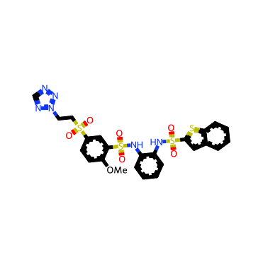 COc1ccc(S(=O)(=O)CCn2ncnn2)cc1S(=O)(=O)Nc1ccccc1NS(=O)(=O)c1cc2ccccc2s1